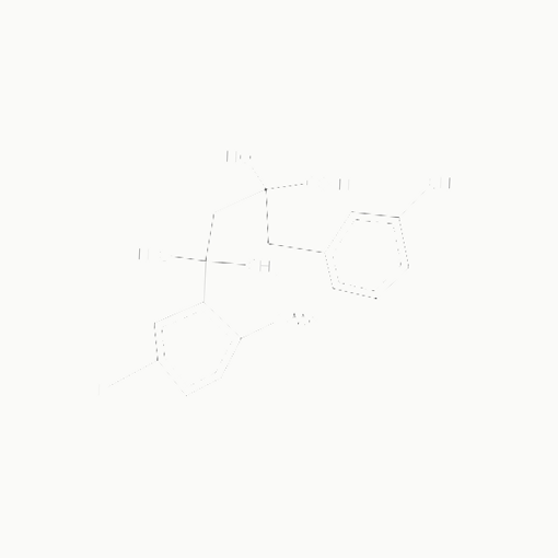 COc1ccc(F)cc1C(C)(C)CC(O)(Cc1cccc(C)c1)C(=O)O